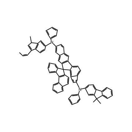 C/C=C\C1=CC(C)c2cc(N(c3ccccc3)c3ccc4cc5c(cc4c3)C3(c4ccccc4-c4c3ccc3ccccc43)c3c-5ccc4cc(N(c5ccccc5)c5ccc6c(c5)C(C)(C)c5ccccc5-6)ccc34)ccc21